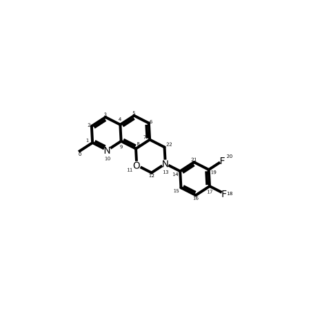 Cc1ccc2ccc3c(c2n1)OCN(c1ccc(F)c(F)c1)C3